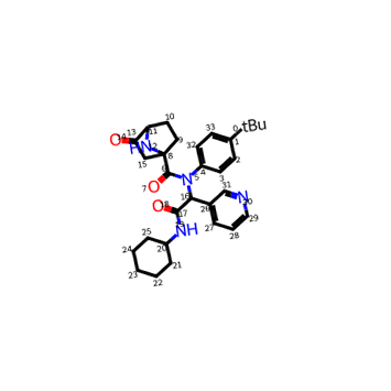 CC(C)(C)c1ccc(N(C(=O)C23CCC(N2)C(=O)C3)C(C(=O)NC2CCCCC2)c2cccnc2)cc1